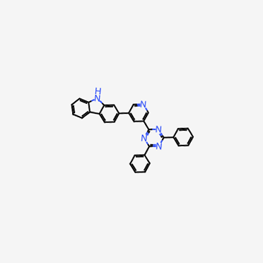 c1ccc(-c2nc(-c3ccccc3)nc(-c3cncc(-c4ccc5c(c4)[nH]c4ccccc45)c3)n2)cc1